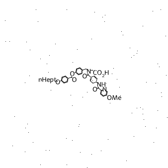 CCCCCCCOc1ccc(C(=O)Oc2ccc(CN(CC(=O)O)C(=O)C3=CCC(NC(=O)c4ccc(OC)cn4)C=C3)cc2)cc1